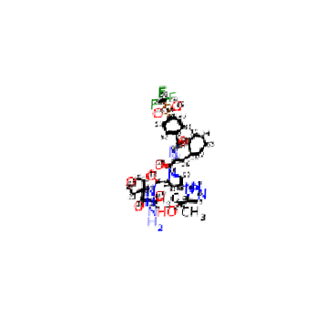 CC(C)(O)c1cnnn1[C@H]1C[C@@H](C(=O)NC2(C(=O)C(N)=O)CCOCC2)N(C(=O)/C(CC2CCCCC2)=N/C(=O)c2ccc(S(=O)(=O)C(F)(F)F)cc2)C1